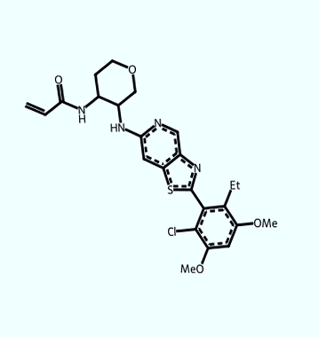 C=CC(=O)NC1CCOCC1Nc1cc2sc(-c3c(Cl)c(OC)cc(OC)c3CC)nc2cn1